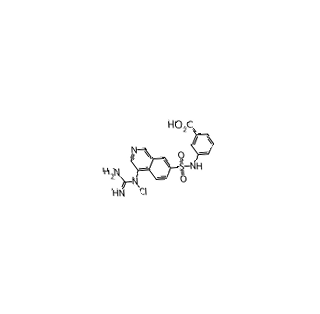 N=C(N)N(Cl)c1cncc2cc(S(=O)(=O)Nc3cccc(C(=O)O)c3)ccc12